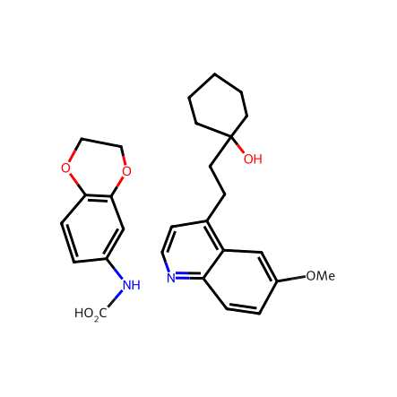 COc1ccc2nccc(CCC3(O)CCCCC3)c2c1.O=C(O)Nc1ccc2c(c1)OCCO2